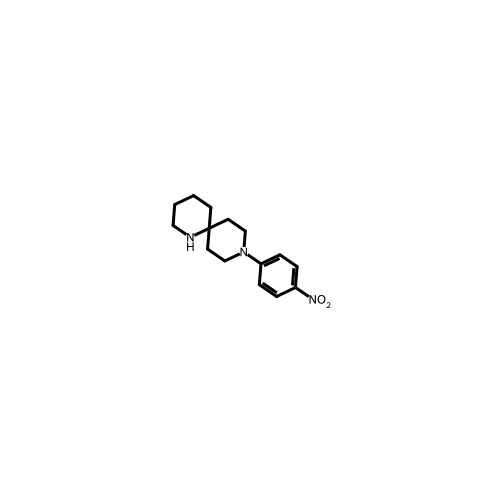 O=[N+]([O-])c1ccc(N2CCC3(CCCCN3)CC2)cc1